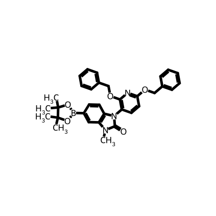 Cn1c(=O)n(-c2ccc(OCc3ccccc3)nc2OCc2ccccc2)c2ccc(B3OC(C)(C)C(C)(C)O3)cc21